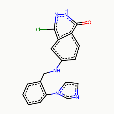 O=c1[nH]nc(Cl)c2cc(NCc3ccccc3-n3ccnc3)ccc12